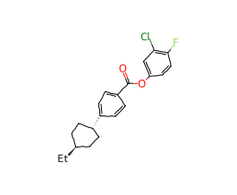 CC[C@H]1CC[C@H](c2ccc(C(=O)Oc3ccc(F)c(Cl)c3)cc2)CC1